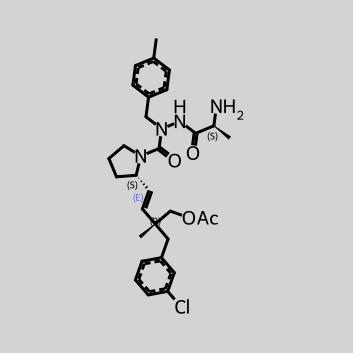 CC(=O)OC[C@@](C)(/C=C/[C@@H]1CCCN1C(=O)N(Cc1ccc(C)cc1)NC(=O)[C@H](C)N)Cc1cccc(Cl)c1